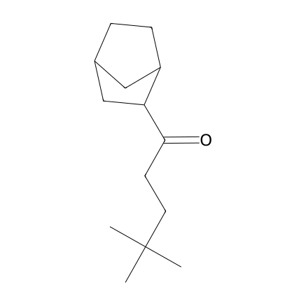 CC(C)(C)CCC(=O)C1CC2CCC1C2